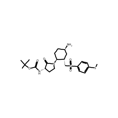 CSc1ccc(S(=O)(=O)C[C@H]2C[C@H](N)CC[C@@H]2N2CC[C@H](NC(=O)OC(C)(C)C)C2=O)cc1